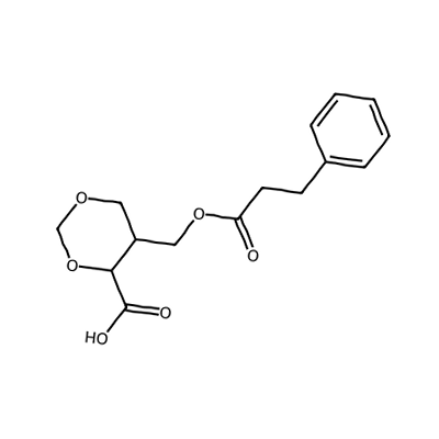 O=C(CCc1ccccc1)OCC1COCOC1C(=O)O